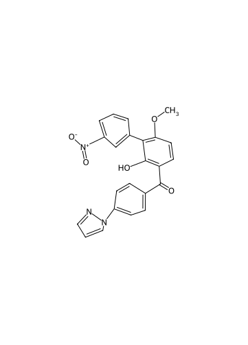 COc1ccc(C(=O)c2ccc(-n3cccn3)cc2)c(O)c1-c1cccc([N+](=O)[O-])c1